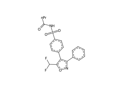 CCCC(=O)NS(=O)(=O)c1ccc(-c2c(-c3ccccc3)noc2C(F)F)cc1